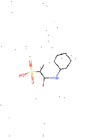 CC(NC1CCCCC1)C(C)S(=O)(=O)O